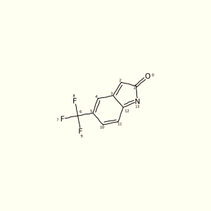 O=C1C=c2cc(C(F)(F)F)ccc2=N1